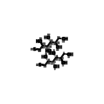 OC[C@@H](O)[C@@H](O)[C@H](O)[C@@H](O)C=S.OC[C@@H](O)[C@@H](O)[C@H](O)[C@H](O)C=S